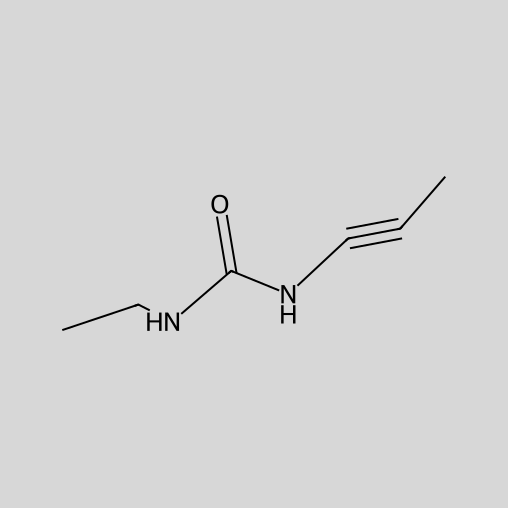 CC#CNC(=O)NCC